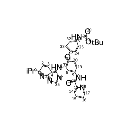 CC(C)c1ccc2c(Nc3cc(NC(=O)c4ccccn4)ccc3Oc3ccc(NC(=O)OC(C)(C)C)cc3)ncnc2n1